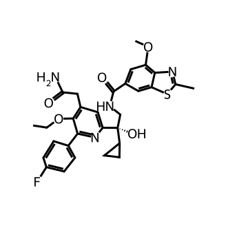 CCOc1c(CC(N)=O)cc([C@@](O)(CNC(=O)c2cc(OC)c3nc(C)sc3c2)C2CC2)nc1-c1ccc(F)cc1